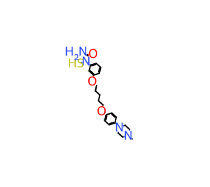 CN1CCN(c2ccc(OCCCCCOc3cccc(N(S)C(N)=O)c3)cc2)CC1